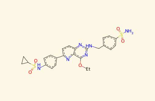 CCOc1nc(NCc2ccc(S(N)(=O)=O)cc2)nc2ccc(-c3ccc(NS(=O)(=O)C4CC4)cc3)nc12